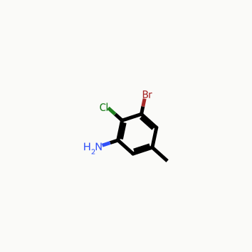 Cc1cc(N)c(Cl)c(Br)c1